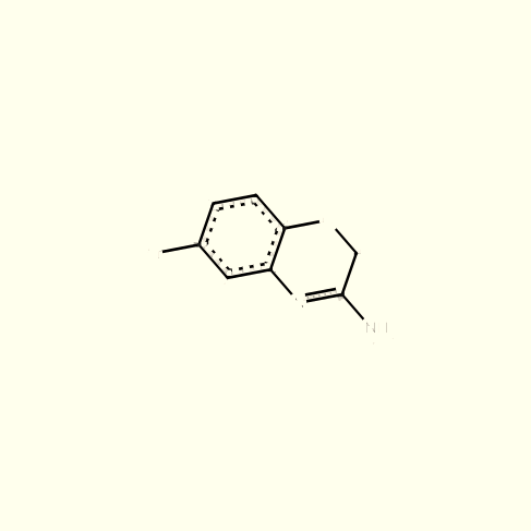 CC(C)(C)c1ccc2c(c1)N=C(N)CO2